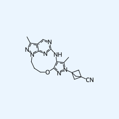 Cc1nn2c3nc(ncc13)Nc1c(nn(C34CC(C#N)(C3)C4)c1C)OCCC2